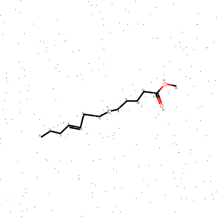 CCCC=CCCCCCCCC(=O)OC